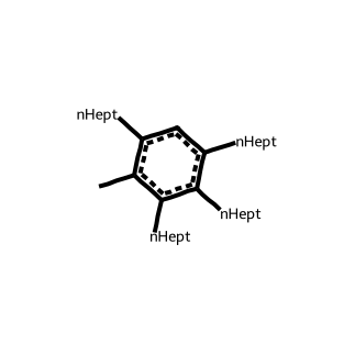 CCCCCCCc1cc(CCCCCCC)c(CCCCCCC)c(CCCCCCC)c1C